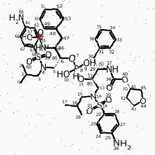 CC(C)CN(C[C@@H](O[PH](O)(O)O[C@H](CN(CC(C)C)S(=O)(=O)c1ccc(N)cc1)[C@H](Cc1ccccc1)NC(=O)O[C@H]1CCOC1)[C@H](Cc1ccccc1)NC(=O)O)S(=O)(=O)c1ccc(N)cc1